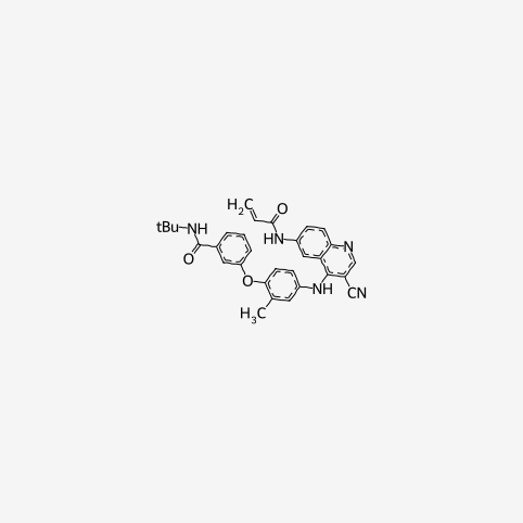 C=CC(=O)Nc1ccc2ncc(C#N)c(Nc3ccc(Oc4cccc(C(=O)NC(C)(C)C)c4)c(C)c3)c2c1